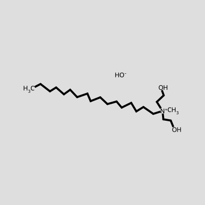 CCCCCCCCCCCCCCCCC[N+](C)(CCO)CCO.[OH-]